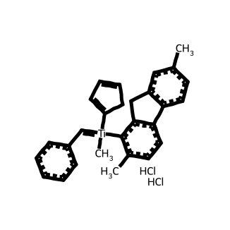 Cc1ccc2c(c1)Cc1c-2ccc(C)[c]1[Ti]([CH3])(=[CH]c1ccccc1)[C]1=CC=CC1.Cl.Cl